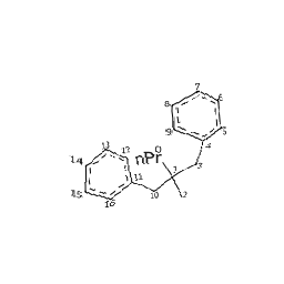 CCCC(C)(Cc1ccccc1)Cc1ccccc1